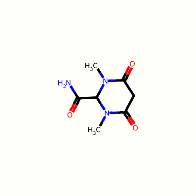 CN1C(=O)CC(=O)N(C)C1C(N)=O